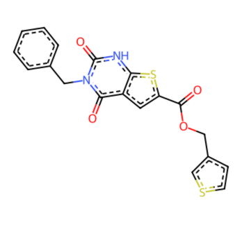 O=C(OCc1ccsc1)c1cc2c(=O)n(Cc3ccccc3)c(=O)[nH]c2s1